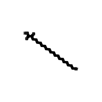 O=C(O)C(=O)CCCCCCCCCCCCCCCCCCCBr